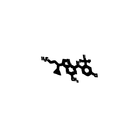 CCCC(c1cnn2c(Nc3ccc(Cl)cc3C(F)(F)F)nc(C)nc12)C1CC1